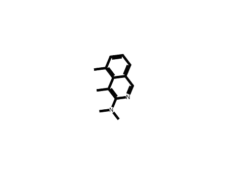 Cc1cccc2cnc(N(C)C)c(C)c12